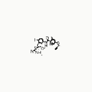 C#C[C@H](C)Oc1cnc(C(=O)Nc2ccc(F)c(C[C@](C)(COC)S/C(N)=N\C)c2)c(C)c1